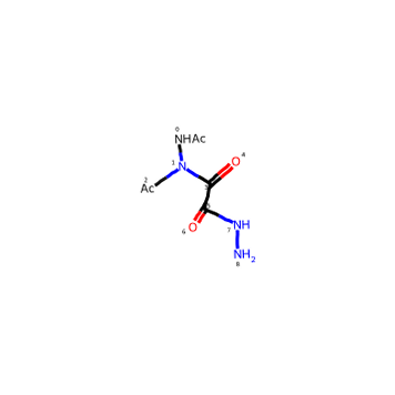 CC(=O)NN(C(C)=O)C(=O)C(=O)NN